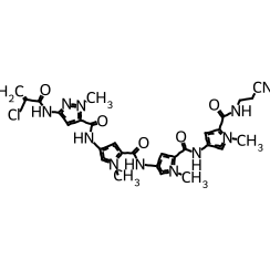 C=C(Cl)C(=O)Nc1cc(C(=O)Nc2cc(C(=O)Nc3cc(C(=O)Nc4cc(C(=O)NCCC#N)n(C)c4)n(C)c3)n(C)c2)n(C)n1